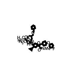 CNC(=O)c1c(-c2ccc(Oc3ccc(F)cc3)cc2)oc2cc(NS(=O)(=O)CCC(COCc3ccccc3)CB3OC(C)(C)C(C)(C)O3)c(C3CC3)cc12